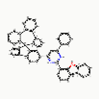 c1ccc(-c2cc(-c3ccc4c(c3)C3(c5ccccc5-c5ccccc5-c5ccccc53)c3ccccc3-4)nc(-c3cccc4c3oc3ccccc34)n2)cc1